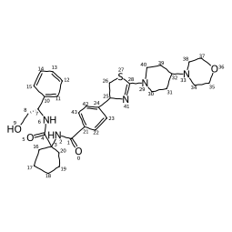 O=C(NC1(C(=O)N[C@H](CO)c2ccccc2)CCCCC1)c1ccc(C2CSC(N3CCC(N4CCOCC4)CC3)=N2)cc1